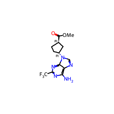 COC(=O)[C@@H]1CC[C@@H](n2cnc3c(N)nc(C(F)(F)F)nc32)C1